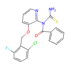 NC(=S)N(C(=O)c1ccccc1)c1ncccc1OCc1c(F)cccc1Cl